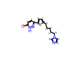 O=c1ccc(-c2ccc(CCCCCn3ccnc3)s2)n[nH]1